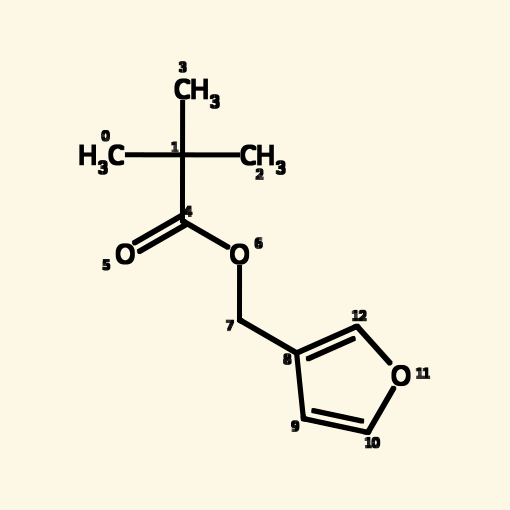 CC(C)(C)C(=O)OCc1ccoc1